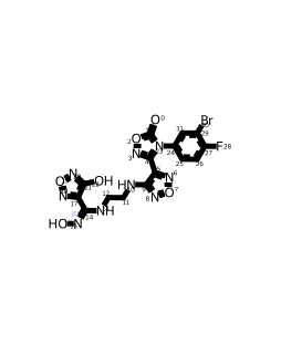 O=c1onc(-c2nonc2NCCN/C(=N/O)c2nonc2O)n1-c1ccc(F)c(Br)c1